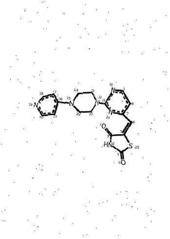 O=C1NC(=O)/C(=C\c2ccnc(N3CCN(c4ccncc4)CC3)n2)S1